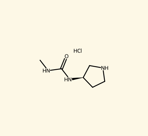 CNC(=O)N[C@@H]1CCNC1.Cl